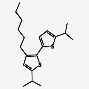 CCCCCCc1cc(C(C)C)sc1-c1ccc(C(C)C)s1